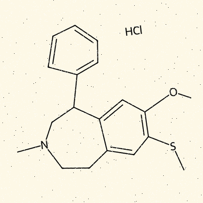 COc1cc2c(cc1SC)CCN(C)CC2c1ccccc1.Cl